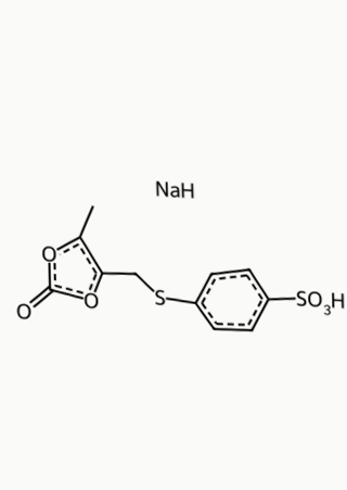 Cc1oc(=O)oc1CSc1ccc(S(=O)(=O)O)cc1.[NaH]